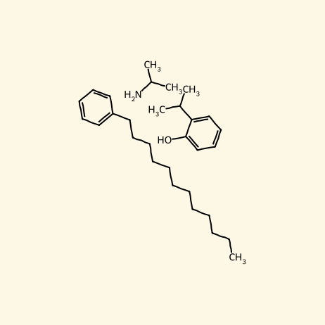 CC(C)N.CC(C)c1ccccc1O.CCCCCCCCCCCCc1ccccc1